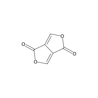 O=C1OC=C2C(=O)OC=C12